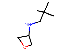 CC(C)(C)CNC1COC1